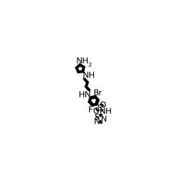 N[C@H]1CC[C@H](NCCCCNc2cc(F)c(S(=O)(=O)Nc3ncns3)cc2Br)C1